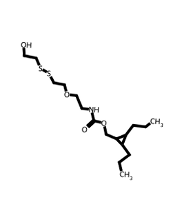 CCCC1C(CCC)C1COC(=O)NCCOCCSSCCO